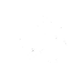 CC(C)CCC[C@@H](C)[C@H]1CC[C@H]2[C@@H]3CC=C4C[C@@H](O)CC[C@]4(C)[C@H]3CC[C@]12C.NC(O)[C@@H](O)[C@@H](O)[C@H](O)[C@H](O)C=O